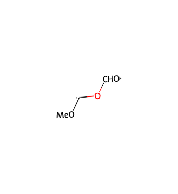 CO[CH]O[C]=O